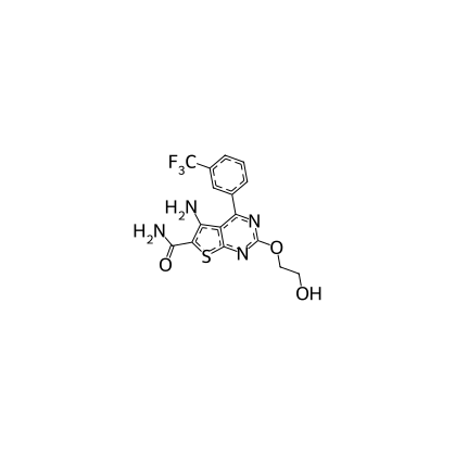 NC(=O)c1sc2nc(OCCO)nc(-c3cccc(C(F)(F)F)c3)c2c1N